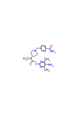 Cc1nc(OCC(=O)N(C)C2CCN(Cc3ccc(C(N)=O)cc3)CC2)nc(C)c1N